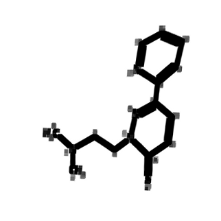 CN(C)CCn1nc(-c2ccccn2)ccc1=S